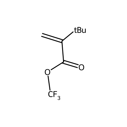 C=C(C(=O)OC(F)(F)F)C(C)(C)C